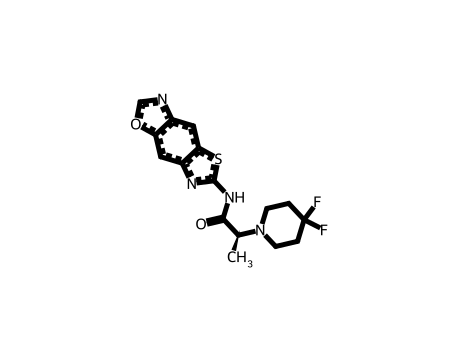 C[C@@H](C(=O)Nc1nc2cc3ocnc3cc2s1)N1CCC(F)(F)CC1